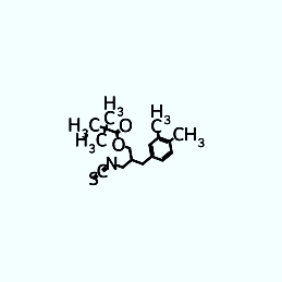 Cc1ccc(CC(CN=C=S)COC(=O)C(C)(C)C)cc1C